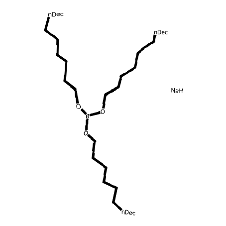 CCCCCCCCCCCCCCCCOB(OCCCCCCCCCCCCCCCC)OCCCCCCCCCCCCCCCC.[NaH]